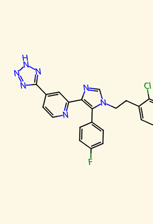 Fc1ccc(-c2c(-c3cc(-c4nn[nH]n4)ccn3)ncn2CCc2ccccc2Cl)cc1